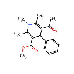 COC(=O)C1=C(C)N(C)C(C)=C(C(C)=O)C1c1ccccc1